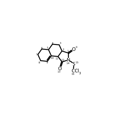 O=C1C2CCC3CCCC=C3C2C(=O)N1SC(Cl)(Cl)Cl